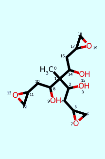 CC(C(O)CC1CO1)(C(O)CC1CO1)C(O)CC1CO1